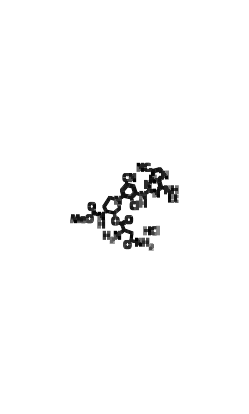 CCNc1nc(Nc2cc(C#N)cc(N3CC[C@@H](NC(=O)OC)[C@H](OC(=O)C(N)CC(N)=O)C3)c2Cl)nn2c(C#N)cnc12.Cl